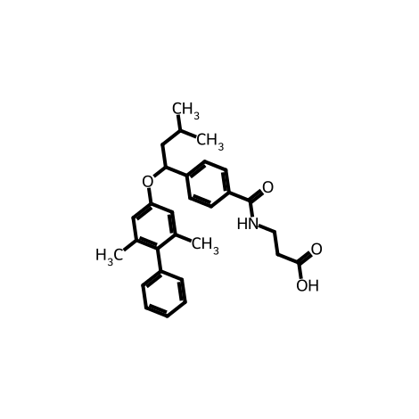 Cc1cc(OC(CC(C)C)c2ccc(C(=O)NCCC(=O)O)cc2)cc(C)c1-c1ccccc1